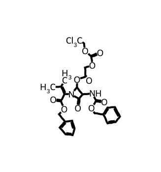 CC(C)=C(C(=O)OCc1ccccc1)N1C(=O)C(NC(=O)OCc2ccccc2)C1OC(=O)COC(=O)OCC(Cl)(Cl)Cl